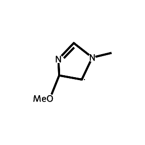 COC1[CH]N(C)C=N1